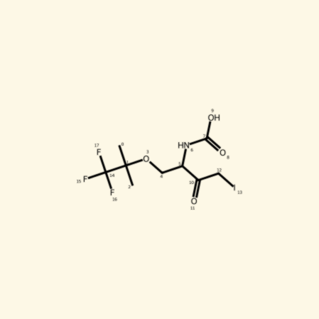 CC(C)(OCC(NC(=O)O)C(=O)CI)C(F)(F)F